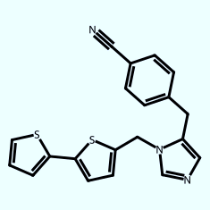 N#Cc1ccc(Cc2cncn2Cc2ccc(-c3cccs3)s2)cc1